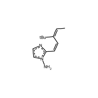 C/C=C(\C=C/c1nccn1N)C(C)(C)C